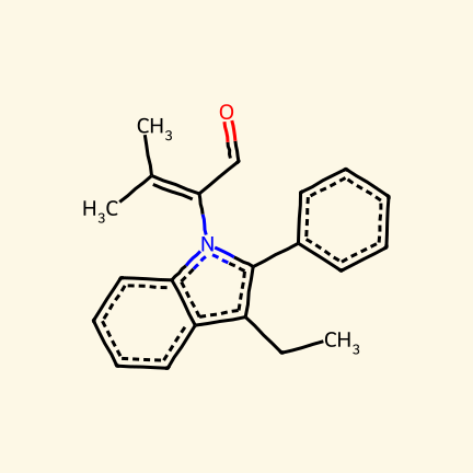 CCc1c(-c2ccccc2)n(C(C=O)=C(C)C)c2ccccc12